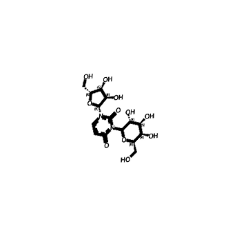 O=c1ccn([C@@H]2O[C@H](CO)[C@@H](O)[C@H]2O)c(=O)n1C1O[C@H](CO)[C@H](O)[C@H](O)[C@H]1O